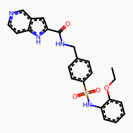 CCOc1ccccc1NS(=O)(=O)c1ccc(CNC(=O)c2cc3cnccc3[nH]2)cc1